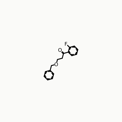 O=C(CCOCc1ccccc1)c1ccccc1F